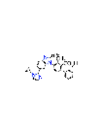 CCCc1nc2ccc(-c3nccn3C3CC3)cc2n1-c1ccc(-c2ccccc2)c(C(=O)O)c1C